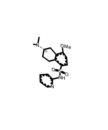 COc1ccc(S(=O)(=O)Nc2ccccn2)c2c1C[C@@H](N(C)C)CC2